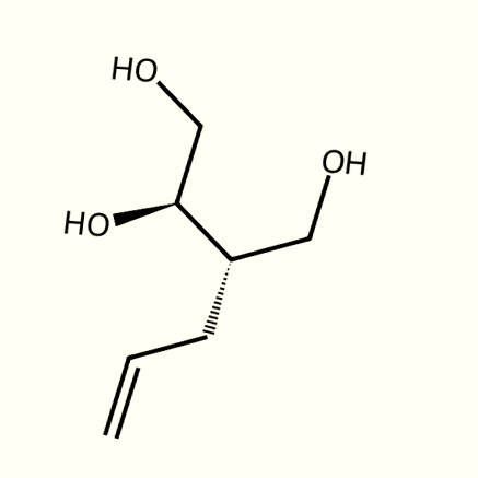 C=CC[C@@H](CO)[C@@H](O)CO